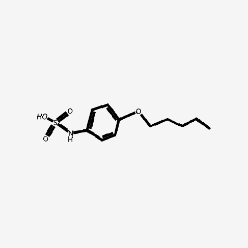 CCCCCOc1ccc(NS(=O)(=O)O)cc1